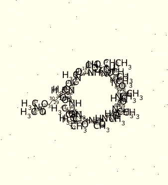 C/C=C/C[C@@H](C)[C@@H](O)[C@H]1C(=O)N[C@@H](CC)C(=O)N(C)CC(=O)N(C)[C@@H]([C@@H](C)OCCCCOC(=O)N(C)C)C(=O)N[C@@H](C(C)C)C(=O)N(C)[C@@H](CC(C)C)C(=O)N[C@@H](C)C(=O)N[C@H](C)C(=O)N(C)[C@@H](CC(C)C)C(=O)N(C)[C@H](CC(C)C)C(=O)N(C)[C@@H](C(C)C)C(=O)N1C